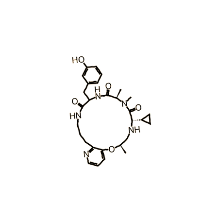 C[C@@H]1CN[C@@H](C2CC2)C(=O)N(C)[C@H](C)C(=O)NC(Cc2cccc(O)c2)C(=O)NCCCc2ncccc2O1